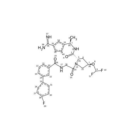 C[C@@H](NC(=O)[C@@H]1C[C@@H](OC(F)F)CN1C(=O)CNC(=O)c1cccc(-c2ccc(F)cc2)c1)c1cc(C(=N)N)cs1